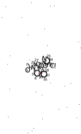 CC(=O)N1c2ccccc2[C@]2(C(=O)c3ccccc3)[C@@H](c3cc(Cl)ccn3)C[C@]12C